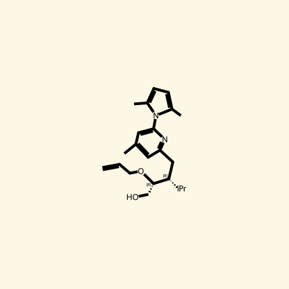 C=CCO[C@@H](CO)[C@H](Cc1cc(C)cc(-n2c(C)ccc2C)n1)C(C)C